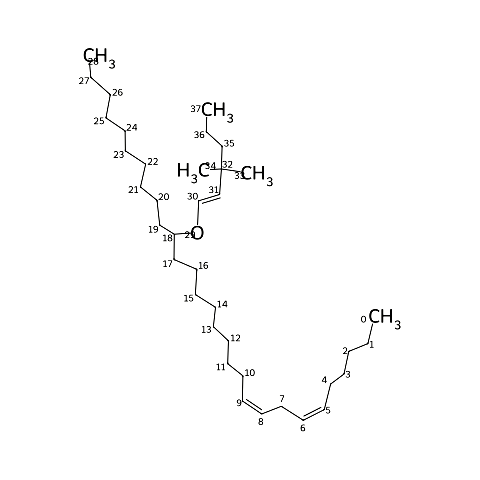 CCCCC/C=C\C/C=C\CCCCCCCCC(CCCCCCCCCC)O/C=C/C(C)(C)CCC